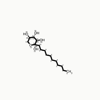 CCCCCCCCCCC[C@@]1(O)OC[C@@H](O)[C@H](O)[C@H]1O